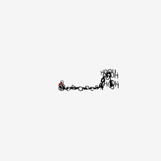 O=C(CCOCCOCCOCCOCCOCCOCc1cn(-c2ccc(O[C@H]3O[C@H](CCP(=O)(O)O)[C@@H](O)[C@H](O)[C@@H]3O)cc2)nn1)ON1C(=O)CCC1=O